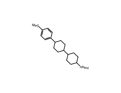 CCCCCC1CCC(C2CCC(c3ccc(SC)cc3)CC2)CC1